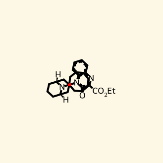 CCOC(=O)c1nc2ccccc2n(C2C[C@H]3CCC[C@@H](C2)N3C2CCCCCCC2)c1=O